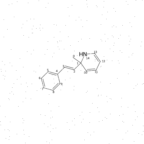 CC1(C=Cc2ccccc2)C=CC=CN1